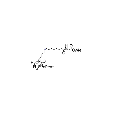 CCCCCN(C)C(=O)N(C)CCCC/C=C\CCCCCCC(=O)NCC(=O)OC